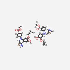 CCOC(=O)c1ccc(N(Cc2cncs2)c2ccc(OC)c(OCC3CC3)c2)cc1.COc1ccc(N(Cc2cncs2)c2cccc(C(=O)OC(C)(C)C)c2)cc1OCC1CC1